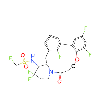 O=C1CCOc2c(F)cc(F)cc2-c2cccc(c2F)CC2C(NS(=O)(=O)CF)C(F)(F)CCN12